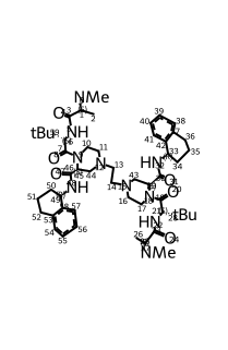 CN[C@@H](C)C(=O)N[C@H](C(=O)N1CCN(CCN2CCN(C(=O)[C@@H](NC(=O)[C@H](C)NC)C(C)(C)C)[C@H](C(=O)N[C@@H]3CCCc4ccccc43)C2)C[C@H]1C(=O)N[C@@H]1CCCc2ccccc21)C(C)(C)C